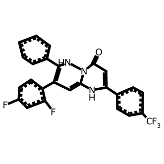 O=C1C=C(c2ccc(C(F)(F)F)cc2)NC2=CC(c3ccc(F)cc3F)=C(c3ccccc3)NN12